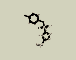 COc1nsc(S(=O)(=O)Cc2ccc(C)cc2)n1